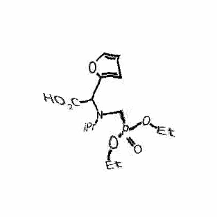 CCOP(=O)(CN(C(C)C)C(C(=O)O)c1ccco1)OCC